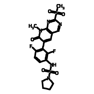 Cn1c(=O)c(-c2c(F)ccc(NS(=O)(=O)N3CCCC3)c2F)cc2cnc(S(C)(=O)=O)nc21